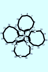 C1=C([Si](C2=CCCCCCCCC2)(C2=CCCCCCCCC2)C2=CCCCCCCCC2)CCCCCCCC1